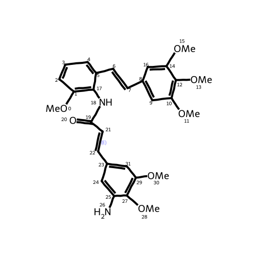 COc1cccc(C=Cc2cc(OC)c(OC)c(OC)c2)c1NC(=O)/C=C/c1cc(N)c(OC)c(OC)c1